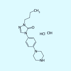 CCCCn1ncn(-c2ccc(N3CCNCC3)cc2)c1=O.Cl.Cl